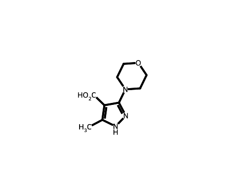 Cc1[nH]nc(N2CCOCC2)c1C(=O)O